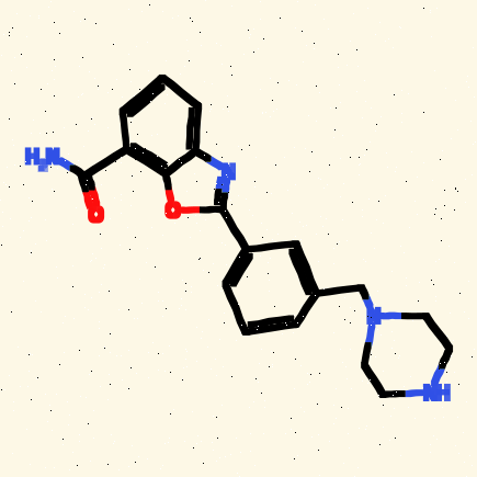 NC(=O)c1cccc2nc(-c3cccc(CN4CCNCC4)c3)oc12